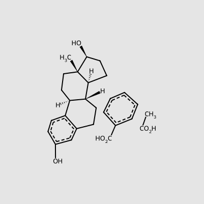 CC(=O)O.C[C@]12CC[C@@H]3c4ccc(O)cc4CC[C@H]3[C@@H]1CC[C@@H]2O.O=C(O)c1ccccc1